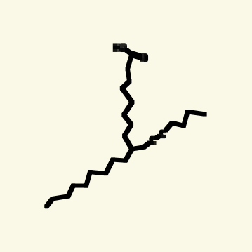 CCCCCCCCCC(CCCCCCC)CCCCCCCC(=O)O